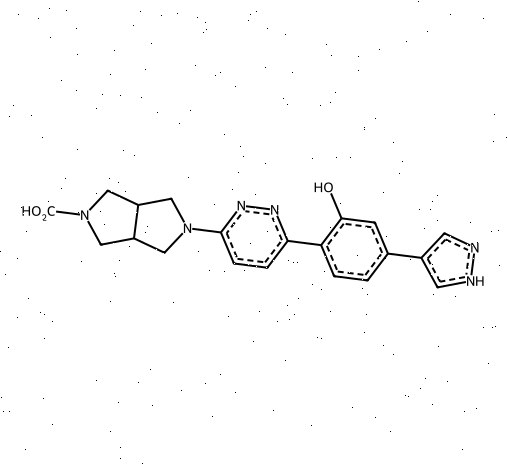 O=C(O)N1CC2CN(c3ccc(-c4ccc(-c5cn[nH]c5)cc4O)nn3)CC2C1